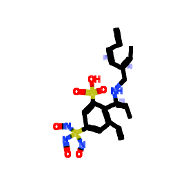 C=C/C=C\C(=C/C)CN/C(=C/C)c1c(C=C)cc(S(N=O)(N=O)N=O)cc1S(=O)(=O)O